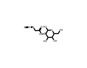 [N-]=[N+]=NCC(=O)N[C@H]1C(O)OC(CO)C(O)C1O